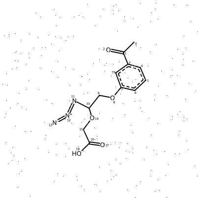 CC(=O)c1cccc(OCC(N=[N+]=[N-])OCC(=O)O)c1